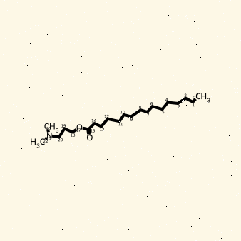 CCCCCCCCCCCCCCCC(=O)OCCCN(C)C